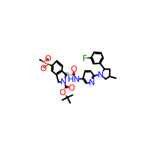 CC1CC(c2cccc(F)c2)N(c2ccc(NC(=O)[C@H]3c4ccc(S(C)(=O)=O)cc4CN3C(=O)OC(C)(C)C)cn2)C1